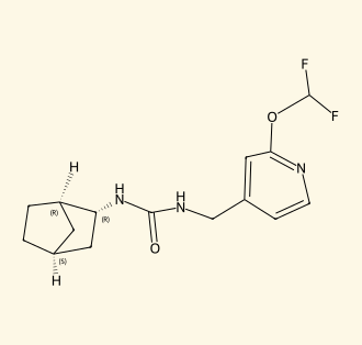 O=C(NCc1ccnc(OC(F)F)c1)N[C@@H]1C[C@H]2CC[C@@H]1C2